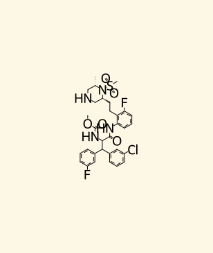 COC(=O)NC(C(=O)Nc1cccc(F)c1CC[C@H]1CNC[C@H](C)N1S(C)(=O)=O)C(c1cccc(F)c1)c1cccc(Cl)c1